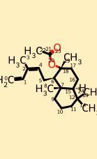 C=CC(C)=CC[C@@H]1[C@@]2(C)CCCC(C)(C)[C@@H]2CC[C@@]1(C)OC(C)=O